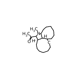 CC(=O)C1[C@@H]2CCCCCCCC3CCCCCCC([C@@H]32)N1C